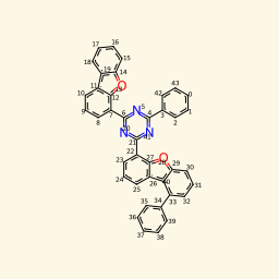 c1ccc(-c2nc(-c3cccc4c3oc3ccccc34)nc(-c3cccc4c3oc3cccc(-c5ccccc5)c34)n2)cc1